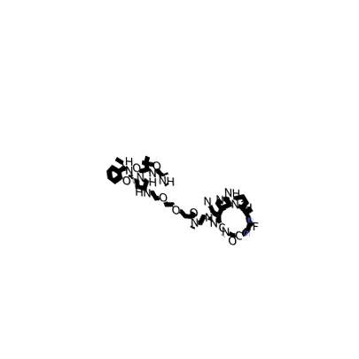 C=C1/C=C(F)\C=C/CC(=O)N(C)Cc2nn(CCN(C)C(=O)CCOCCOCCN[C@@H]3C[C@H](C(=O)N[C@@H](CC)c4ccccc4)N(C(=O)[C@H](NC(=O)[C@@H](C)NC)C(C)(C)C)C3)c(C#N)c2-c2cnc(N)c(c2)N2CCC[C@H]12